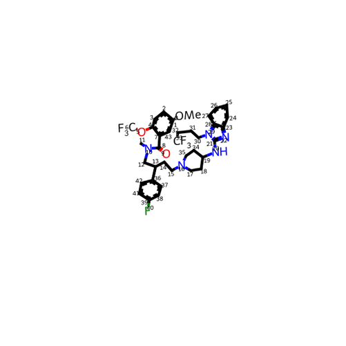 COc1ccc(OC(F)(F)F)c(C(=O)N(C)CC(CCN2CCC(Nc3nc4ccccc4n3CCCC(F)(F)F)CC2)c2ccc(F)cc2)c1